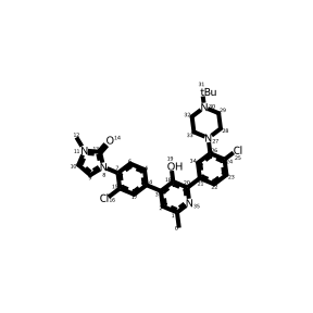 Cc1cc(-c2ccc(-n3ccn(C)c3=O)c(Cl)c2)c(O)c(-c2ccc(Cl)c(N3CCN(C(C)(C)C)CC3)c2)n1